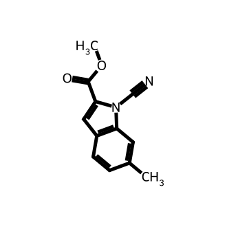 COC(=O)c1cc2ccc(C)cc2n1C#N